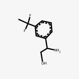 CC(F)(F)c1cccc(C(N)CO)c1